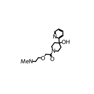 CNCCOCC(=O)N1CCC(O)(c2ccccn2)CC1